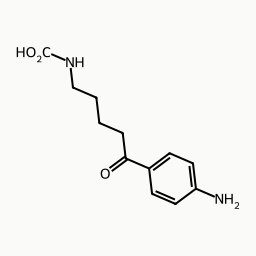 Nc1ccc(C(=O)CCCCNC(=O)O)cc1